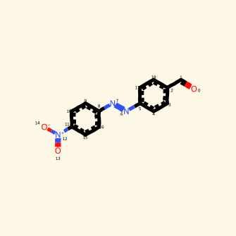 O=Cc1ccc(N=Nc2ccc([N+](=O)[O-])cc2)cc1